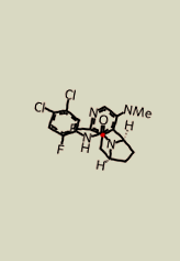 CNc1cnc(F)c2c1[C@H]1CC[C@@H](C2)N1C(=O)Nc1cc(Cl)c(Cl)cc1F